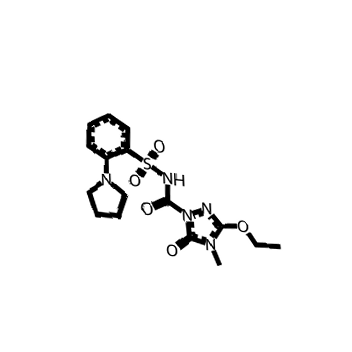 CCOc1nn(C(=O)NS(=O)(=O)c2ccccc2N2CCCC2)c(=O)n1C